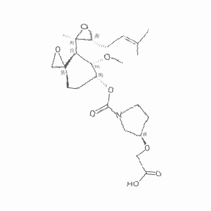 CO[C@@H]1[C@H](OC(=O)N2CC[C@@H](OCC(=O)O)C2)CC[C@]2(CO2)[C@H]1[C@@]1(C)O[C@@H]1CC=C(C)C